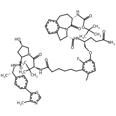 Cc1ncsc1-c1ccc([C@H](C)NC(=O)C2C[C@@H](O)CN2C(=O)[C@@H](NC(=O)CCCCCc2c(F)ccc(OC[C@H](CCC(N)=O)NC(=O)[C@@H]3Cc4cccc5c4N3C(=O)[C@@H](NC(=O)OC(C)(C)C)CC5)c2F)C(C)(C)C)cc1